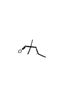 C[CH]CC(C)(C)C=O